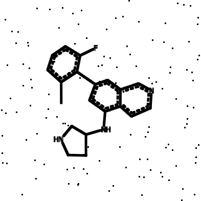 Cc1cccc(F)c1-c1cc(NC2CCNC2)c2ccncc2c1